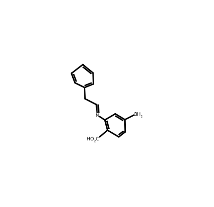 Bc1ccc(C(=O)O)c(/N=C/Cc2ccccc2)c1